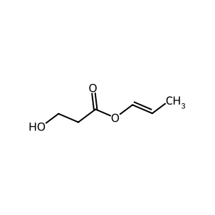 CC=COC(=O)CCO